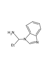 CCC(N)n1cnc2ccccc21